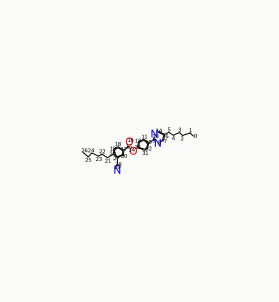 CCCCCCc1cnc(-c2ccc(OC(=O)c3ccc(CCCCCC)c(C#N)c3)cc2)nc1